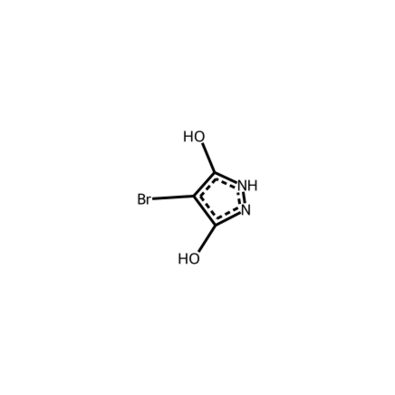 Oc1n[nH]c(O)c1Br